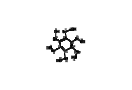 O[Se]c1c([Se]O)c([Se]O)c([Se]O)c([Se]O)c1[Se]O